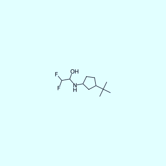 CC(C)(C)C1CCC(NC(O)C(F)F)C1